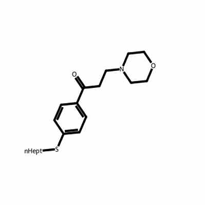 CCCCCCCSc1ccc(C(=O)CCN2CCOCC2)cc1